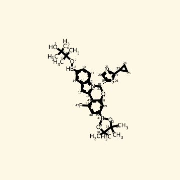 CC(C)(O)C(C)(C)OBc1ccc2c(c1)cc1n2[C@H](c2cnc(C3CC3)s2)Oc2cc(B3OC(C)(C)C(C)(C)O3)cc(F)c2-1